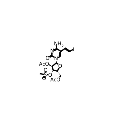 CC(=O)OC[C@H]1O[C@@H](n2cc(C=CI)c(N)nc2=O)[C@H](OC(C)=O)[C@H]1OS(C)(=O)=O